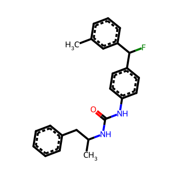 Cc1cccc(C(F)c2ccc(NC(=O)NC(C)Cc3ccccc3)cc2)c1